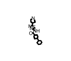 O=C(Nc1nnc(-c2ccncc2)s1)c1ccc(C2CC[CH]CC2)cc1